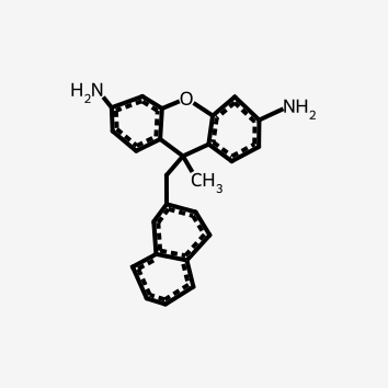 CC1(Cc2ccc3ccccc3c2)c2ccc(N)cc2Oc2cc(N)ccc21